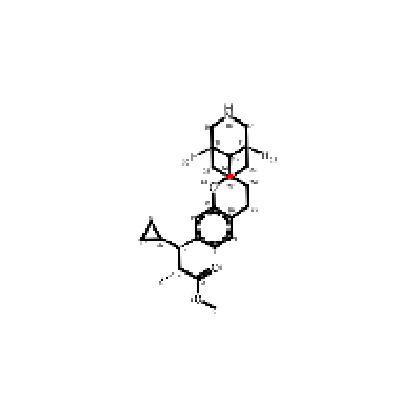 COC(=O)[C@H](C)[C@H](c1ccc2c(c1)O[C@@H](C1[C@@H]3CNC[C@H]1COC3)CC2)C1CC1